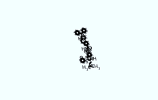 CN(C)CC[C@H](CSc1ccccc1)Nc1ccc(S(=O)(=O)NC(=O)c2ccc3c(c2)CC[C@@H]2CN(C(c4ccccc4)c4ccccc4)CCN32)cc1[N+](=O)[O-]